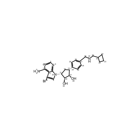 Nc1ncnc2c1c(Br)cn2[C@@H]1C[C@H](c2ccc(CNCC3CCC3)cc2)[C@@H](O)[C@H]1O